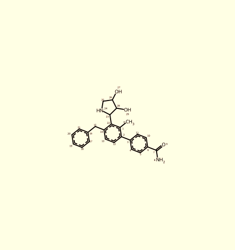 Cc1c(-c2ccc(C(N)=O)cc2)ccc(Cc2ccccc2)c1C1NCC(O)C1O